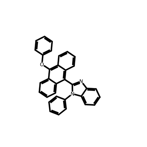 c1ccc(Oc2c3ccccc3c(-c3nc4ccccc4n3-c3ccccc3)c3ccccc23)cc1